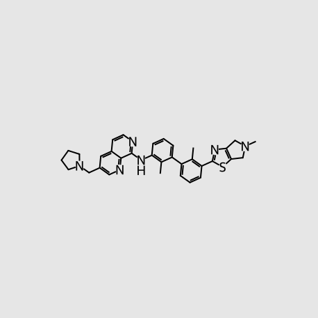 Cc1c(Nc2nccc3cc(CN4CCCC4)cnc23)cccc1-c1cccc(-c2nc3c(s2)CN(C)C3)c1C